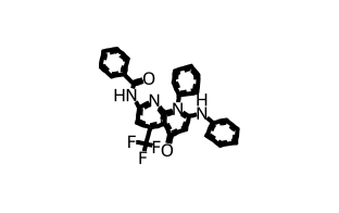 O=C(Nc1cc(C(F)(F)F)c2c(=O)cc(Nc3ccccc3)n(-c3ccccc3)c2n1)c1ccccc1